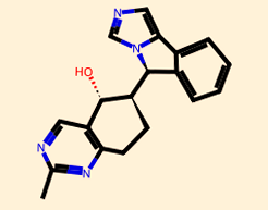 Cc1ncc2c(n1)CC[C@H]([C@@H]1c3ccccc3-c3cncn31)[C@H]2O